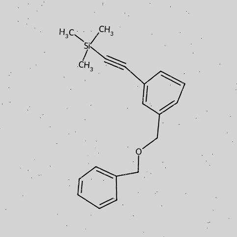 C[Si](C)(C)C#Cc1cccc(COCc2ccccc2)c1